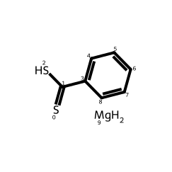 S=C(S)c1ccccc1.[MgH2]